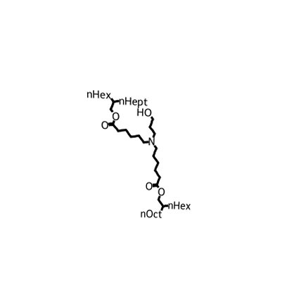 CCCCCCCCC(CCCCCC)COC(=O)CCCCCN(CCCO)CCCCCC(=O)OCC(CCCCCC)CCCCCCC